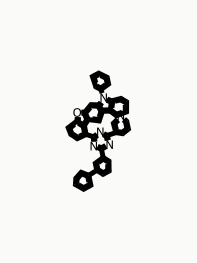 c1ccc(-c2cccc(-c3nc(-c4cccnc4)nc(-c4cccc5oc6cc7c(cc6c45)c4ccccc4n7-c4ccccc4)n3)c2)cc1